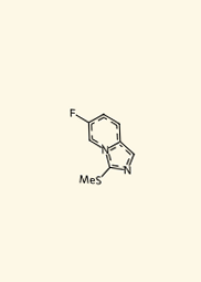 CSc1ncc2ccc(F)cn12